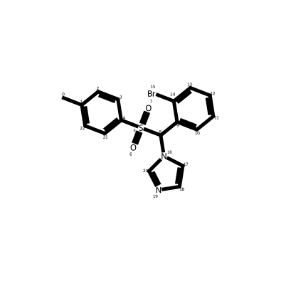 Cc1ccc(S(=O)(=O)C(c2ccccc2Br)n2ccnc2)cc1